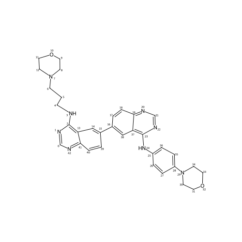 c1nc(NCCCN2CCOCC2)c2cc(-c3ccc4ncnc(Nc5ccc(N6CCOCC6)cc5)c4c3)ccc2n1